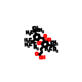 CC(C)(C)c1cc(C(=O)c2cc(CCC(=O)O)cc(C(C)(C)C)c2O)c(O)c(C(C)(C)C)c1